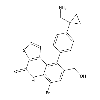 NCC1(c2ccc(-c3c(CO)cc(Br)c4[nH]c(=O)c5sccc5c34)cc2)CC1